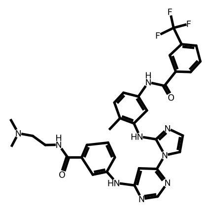 Cc1ccc(NC(=O)c2cccc(C(F)(F)F)c2)cc1Nc1nccn1-c1cc(Nc2cccc(C(=O)NCCN(C)C)c2)ncn1